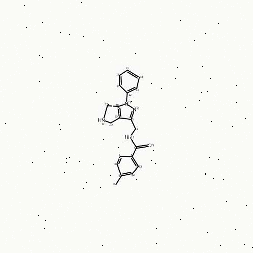 Cc1ccc(C(=O)NCc2nn(-c3ccccc3)c3c2CNC3)cc1